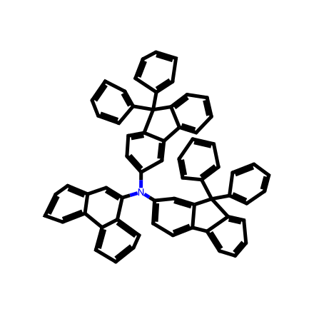 c1ccc(C2(c3ccccc3)c3ccccc3-c3cc(N(c4ccc5c(c4)C(c4ccccc4)(c4ccccc4)c4ccccc4-5)c4cc5ccccc5c5ccccc45)ccc32)cc1